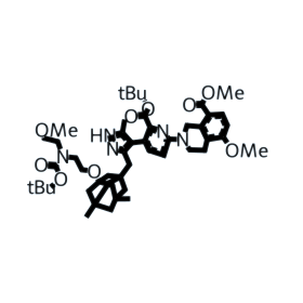 COCCN(CCOC12CC3(C)CC(C)(CC(Cc4n[nH]c(C)c4-c4ccc(N5CCc6c(OC)ccc(C(=O)OC)c6C5)nc4C(=O)OC(C)(C)C)(C3)C1)C2)C(=O)OC(C)(C)C